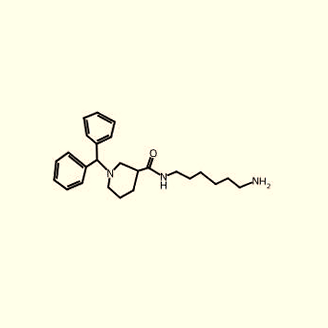 NCCCCCCNC(=O)C1CCCN(C(c2ccccc2)c2ccccc2)C1